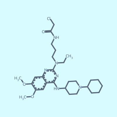 CCN(CCCNC(=O)CCl)c1nc(NC2CCN(C3CCCCC3)CC2)c2cc(OC)c(OC)cc2n1